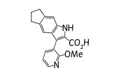 COc1ncccc1-c1c(C(=O)O)[nH]c2cc3c(cc12)CCC3